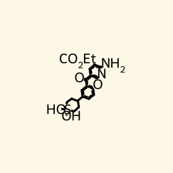 CCOC(=O)c1cc2c(=O)c3cc(C4CCS(O)(O)CC4)ccc3oc2nc1N